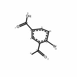 CC(=O)c1cc(C(=O)O)ccc1Br